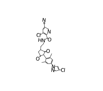 Cc1cc(-n2cc(Cl)cn2)cc(C)c1C1C(=O)CC(CCNC(=O)c2ncc(C#N)cc2Cl)C1=O